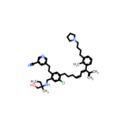 C=C(C)/C(=C\C=C/CCCc1cc(CCc2cncc(C#N)c2)c(CNC(C)(CC)CO)cc1Cl)c1cccc(CCCCN2CCCC2)c1C